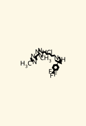 Cc1cnc(-c2nnc(CCCCCN3C[C@@H]4C[C@]4(c4ccc(C(F)(F)F)cc4)C3)n2C)cn1.Cl